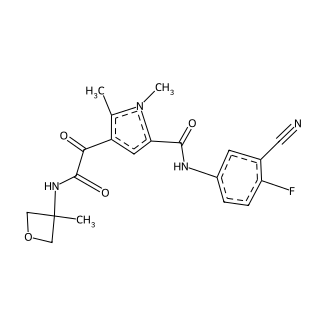 Cc1c(C(=O)C(=O)NC2(C)COC2)cc(C(=O)Nc2ccc(F)c(C#N)c2)n1C